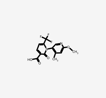 COc1cc(C)c(-n2c(C(F)(F)F)ccc(C(=O)O)c2=O)cn1